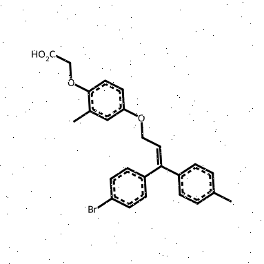 Cc1ccc(C(=CCOc2ccc(OCC(=O)O)c(C)c2)c2ccc(Br)cc2)cc1